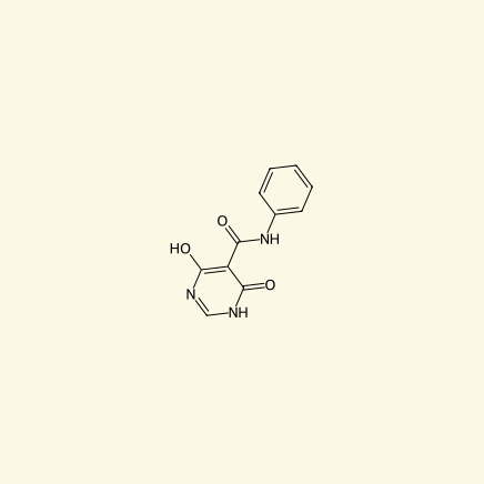 O=C(Nc1ccccc1)c1c(O)nc[nH]c1=O